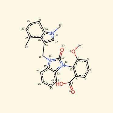 COc1cccc(C(=O)O)c1-n1c(=O)n(Cc2cn(C)c3cccc(C)c23)c2ccccc21